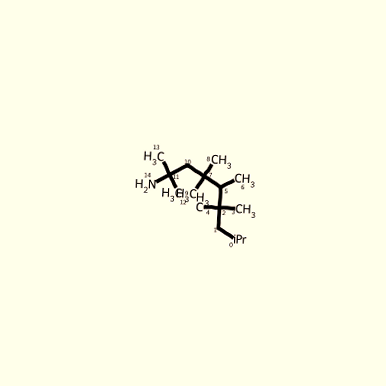 CC(C)CC(C)(C)C(C)C(C)(C)CC(C)(C)N